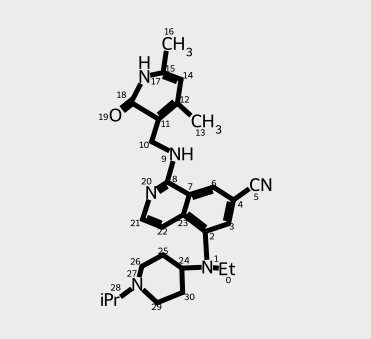 CCN(c1cc(C#N)cc2c(NCc3c(C)cc(C)[nH]c3=O)nccc12)C1CCN(C(C)C)CC1